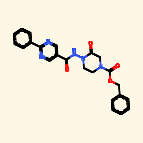 O=C(NN1CCN(C(=O)OCc2ccccc2)CC1=O)c1cnc(-c2ccccc2)nc1